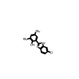 CC(C)(C)c1cc(-c2nc3ccc(Cl)cc3[nH]2)c(O)c(C(C)(C)C)c1